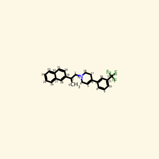 CC(CN1CC=C(c2cccc(C(F)(F)F)c2)CC1)c1ccc2ccccc2c1